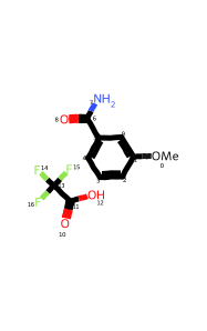 COc1cccc(C(N)=O)c1.O=C(O)C(F)(F)F